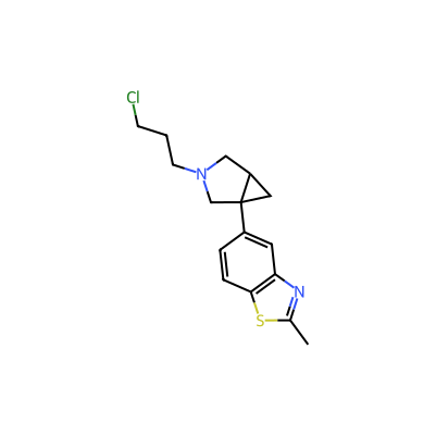 Cc1nc2cc(C34CC3CN(CCCCl)C4)ccc2s1